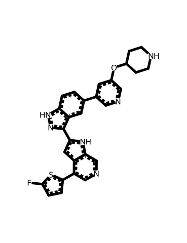 Fc1ccc(-c2cncc3[nH]c(-c4n[nH]c5ccc(-c6cncc(OC7CCNCC7)c6)cc45)cc23)s1